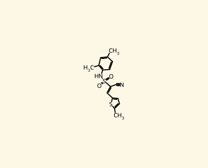 Cc1ccc(NS(=O)(=O)/C(C#N)=C/c2ccc(C)s2)c(C)c1